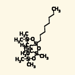 CCCCCCCC[Si](C)(O[Si](C)(C)C)O[Si](C)(C)O[Si](C)(C)C